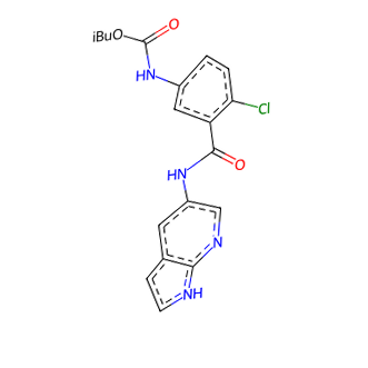 CC(C)COC(=O)Nc1ccc(Cl)c(C(=O)Nc2cnc3[nH]ccc3c2)c1